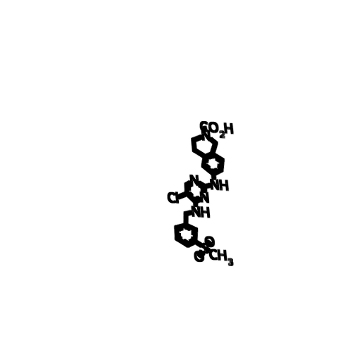 CS(=O)(=O)c1cccc(CNc2nc(Nc3ccc4c(c3)CCN(C(=O)O)C4)ncc2Cl)c1